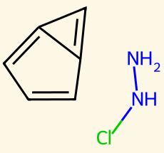 NNCl.c1cc2cc-2c1